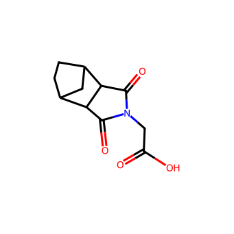 O=C(O)CN1C(=O)C2C3CCC(C3)C2C1=O